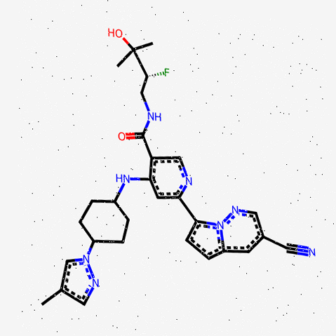 Cc1cnn(C2CCC(Nc3cc(-c4ccc5cc(C#N)cnn45)ncc3C(=O)NC[C@@H](F)C(C)(C)O)CC2)c1